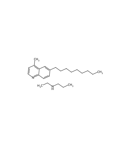 CCCCCCCCCc1ccc2nccc(C)c2c1.CCCNCC